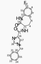 O=C(NC1CCc2ccc(F)cc2NC1=O)c1cn(Cc2ccccc2)cn1